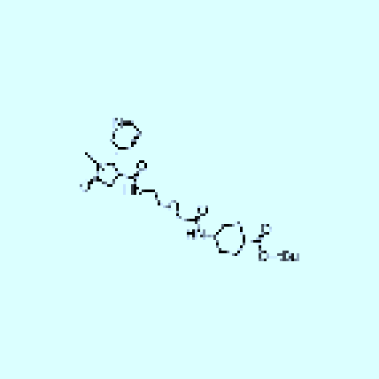 CN1C(=O)C[C@H](C(=O)NCCOCC(=O)N[C@H]2CC[C@@H](C(=O)OC(C)(C)C)CC2)[C@H]1C1C=CC=NC1